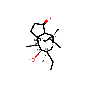 CC[C@]1(C)CC[C@]2(C)C(C)CC[C@]3(CCC(=O)C23)[C@H](C)[C@@H]1O